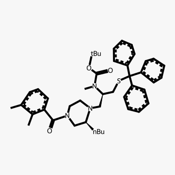 CCCC[C@H]1CN(C(=O)c2cccc(C)c2C)CCN1C[C@H](CSC(c1ccccc1)(c1ccccc1)c1ccccc1)N(C)C(=O)OC(C)(C)C